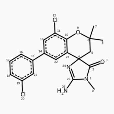 CN1C(=O)C2(CC(C)(C)Oc3c(Cl)cc(-c4cccc(Cl)c4)cc32)N=C1N